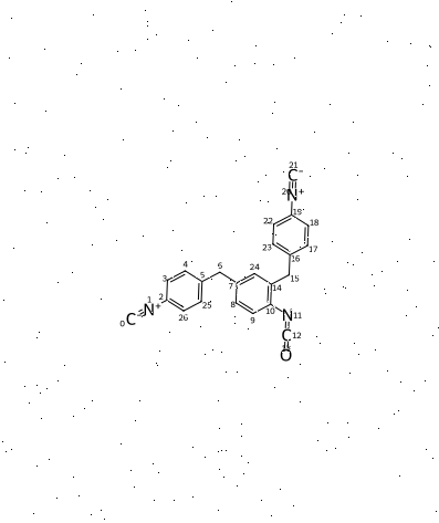 [C-]#[N+]c1ccc(Cc2ccc(N=C=O)c(Cc3ccc([N+]#[C-])cc3)c2)cc1